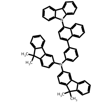 CC1(C)c2ccccc2-c2cc(N(c3cccc(-c4ccc(-n5c6ccccc6c6ccccc65)c5ccccc45)c3)c3ccc4c(c3)-c3ccccc3C4(C)C)ccc21